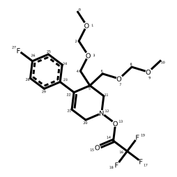 COCOCC1(COCOC)CN(OC(=O)C(F)(F)F)CC=C1c1ccc(F)cc1